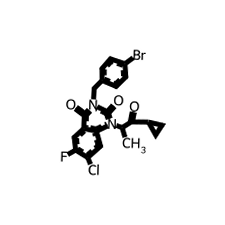 CC(C(=O)C1CC1)n1c(=O)n(Cc2ccc(Br)cc2)c(=O)c2cc(F)c(Cl)cc21